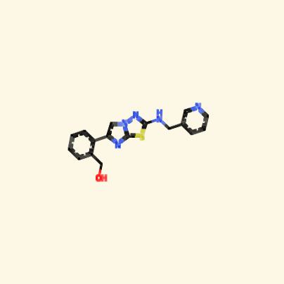 OCc1ccccc1-c1cn2nc(NCc3cccnc3)sc2n1